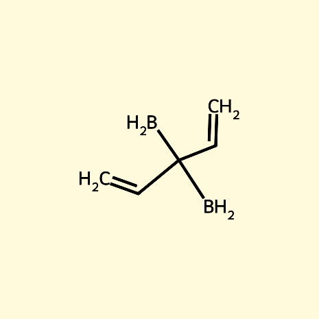 BC(B)(C=C)C=C